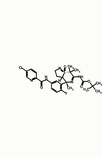 CC(C)(C)OC(=O)NC1=N[C@](C)(c2cc(NC(=O)c3ccc(Cl)cn3)ccc2F)[C@@H]2CCN=[S@]2(=O)C1(C)C